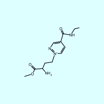 CCNC(=O)c1cc[n+](CCC(N)C(=O)OC)nc1